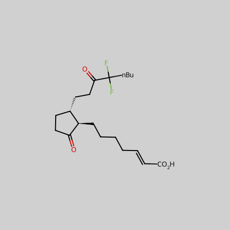 CCCCC(F)(F)C(=O)CC[C@H]1CCC(=O)[C@@H]1CCCCC=CC(=O)O